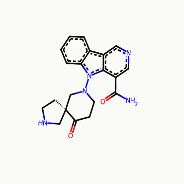 NC(=O)c1cncc2c3ccccc3n(N3CCC(=O)[C@]4(CCNC4)C3)c12